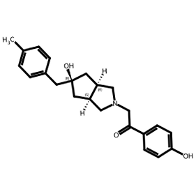 Cc1ccc(C[C@]2(O)C[C@H]3CN(CC(=O)c4ccc(O)cc4)C[C@H]3C2)cc1